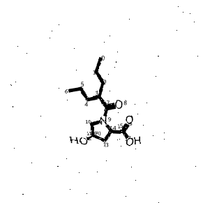 CCCC(CCC)C(=O)N1C[C@H](O)CC1C(=O)O